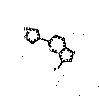 Brc1cnc2ccc(-c3cn[nH]c3)nn12